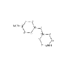 N#CB1CCC(CN2CCNCC2)CC1